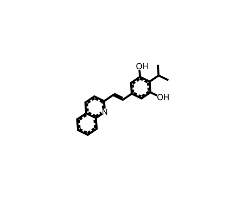 CC(C)c1c(O)cc(C=Cc2ccc3ccccc3n2)cc1O